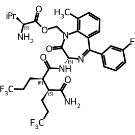 Cc1cccc2c1N(COC(=O)[C@@H](N)C(C)C)C(=O)[C@@H](NC(=O)[C@H](CCC(F)(F)F)[C@H](CCC(F)(F)F)C(N)=O)N=C2c1cccc(F)c1